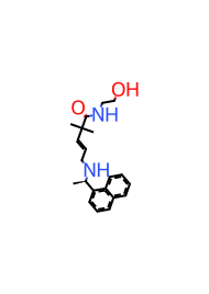 C[C@@H](NC/C=C/C(C)(C)C(=O)NCCO)c1cccc2ccccc12